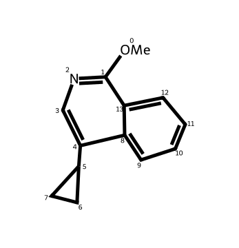 COc1ncc(C2CC2)c2ccccc12